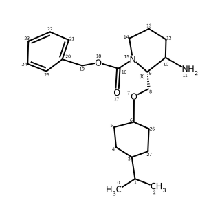 CC(C)C1CCC(OC[C@H]2C(N)CCCN2C(=O)OCc2ccccc2)CC1